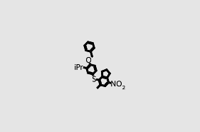 Cc1cc([N+](=O)[O-])c2c(c1Sc1ccc(OCc3ccccc3)c(C(C)C)c1)CCC2